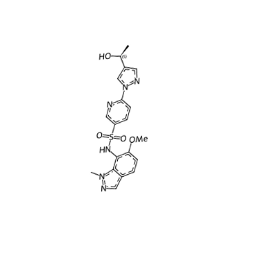 COc1ccc2cnn(C)c2c1NS(=O)(=O)c1ccc(-n2cc([C@H](C)O)cn2)nc1